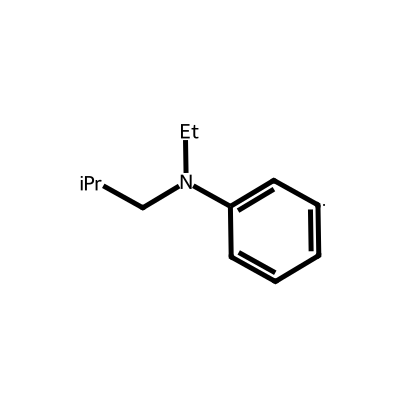 CCN(CC(C)C)c1c[c]ccc1